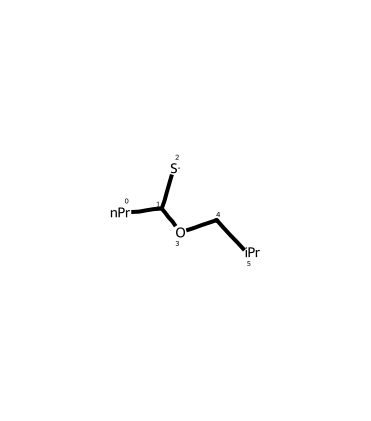 CCCC([S])OCC(C)C